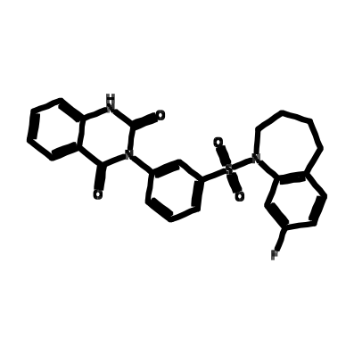 O=c1[nH]c2ccccc2c(=O)n1-c1cccc(S(=O)(=O)N2CCCCc3ccc(F)cc32)c1